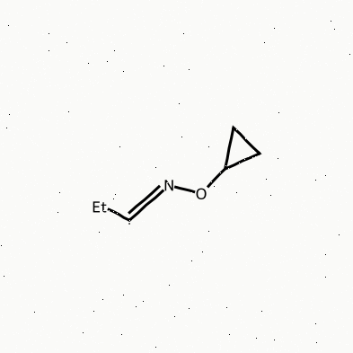 CC/[C]=N/OC1CC1